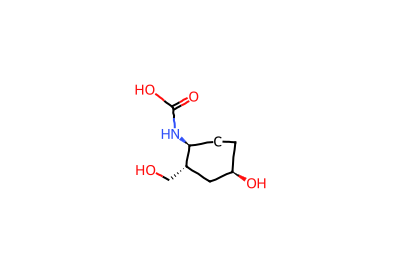 O=C(O)N[C@H]1CC[C@@H](O)C[C@@H]1CO